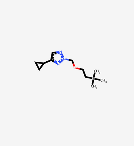 C[Si](C)(C)CCOCn1ncc(C2CC2)n1